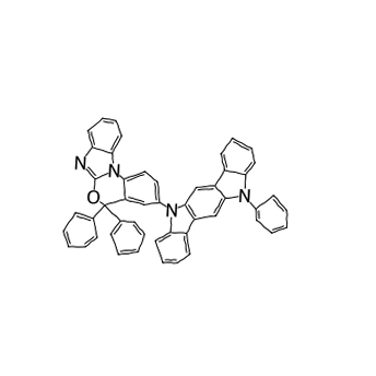 c1ccc(-n2c3ccccc3c3cc4c(cc32)c2ccccc2n4-c2ccc3c(c2)C(c2ccccc2)(c2ccccc2)Oc2nc4ccccc4n2-3)cc1